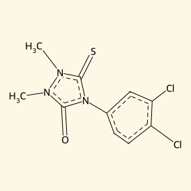 Cn1c(=O)n(-c2ccc(Cl)c(Cl)c2)c(=S)n1C